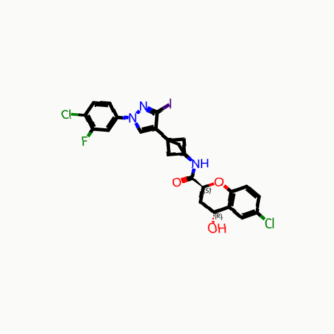 O=C(NC12CC(c3cn(-c4ccc(Cl)c(F)c4)nc3I)(C1)C2)[C@@H]1C[C@@H](O)c2cc(Cl)ccc2O1